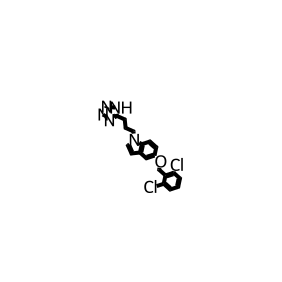 Clc1cccc(Cl)c1COc1ccc2c(ccn2CCCc2nnn[nH]2)c1